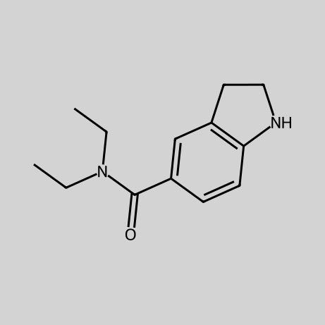 CCN(CC)C(=O)c1ccc2c(c1)CCN2